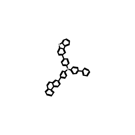 c1ccc(-c2ccc(N(c3ccc(-c4ccc5c(ccc6ccccc65)c4)cc3)c3ccc(-c4ccc5sc6ccccc6c5c4)cc3)cc2)cc1